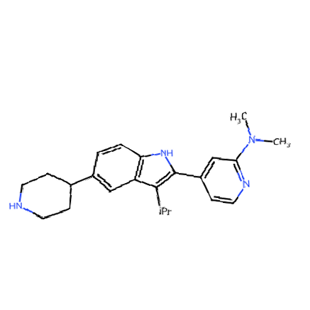 CC(C)c1c(-c2ccnc(N(C)C)c2)[nH]c2ccc(C3CCNCC3)cc12